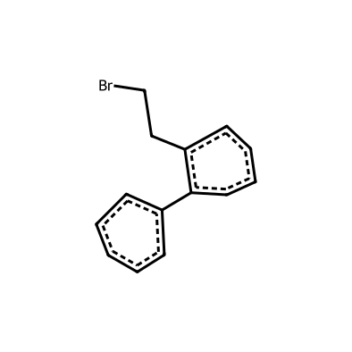 BrCCc1ccccc1-c1ccccc1